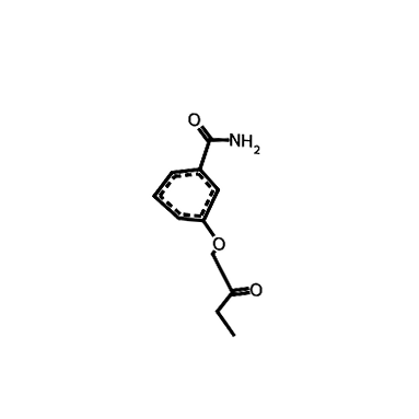 CCC(=O)COc1cccc(C(N)=O)c1